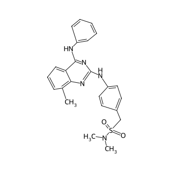 Cc1cccc2c(Nc3ccccc3)nc(Nc3ccc(CS(=O)(=O)N(C)C)cc3)nc12